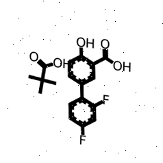 CC(C)(C)C(=O)O.O=C(O)c1cc(-c2ccc(F)cc2F)ccc1O